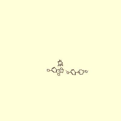 [O-][S+]1CCN(c2ccc(OC[C@@H]3CO[C@@](Cn4cncn4)(c4ccc(Cl)cc4Cl)O3)cc2)CC1